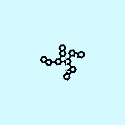 c1ccc2cc(-c3ccc(-c4nc(-c5cccc6c5oc5ccccc56)cc(-c5cccc6c5oc5ccccc56)n4)c(-c4ccc5ccccc5c4)c3)ccc2c1